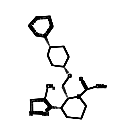 COC(=O)N1CCC[C@H](c2[nH]ncc2C)[C@@H]1CO[C@H]1CC[C@@H](c2ccccc2)CC1